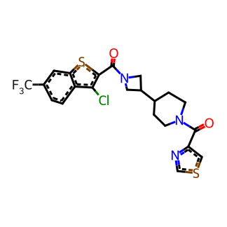 O=C(c1cscn1)N1CCC(C2CN(C(=O)c3sc4cc(C(F)(F)F)ccc4c3Cl)C2)CC1